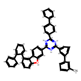 N#Cc1cccc(-c2cccc(-c3nc(-c4ccc(-c5ccccc5)cc4)nc(-c4ccc5c(c4)oc4cccc(-c6ccccc6-c6ccccc6)c45)n3)c2)c1